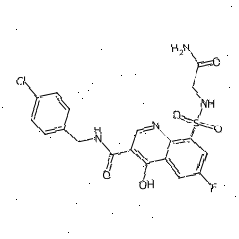 NC(=O)CNS(=O)(=O)c1cc(F)cc2c(O)c(C(=O)NCc3ccc(Cl)cc3)cnc12